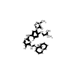 C[C@H](O)COc1cc(F)c(Nc2ncc(F)c(NC[C@@H]3CCCN4CCCC[C@H]34)n2)cc1-n1nnn(C)c1=O